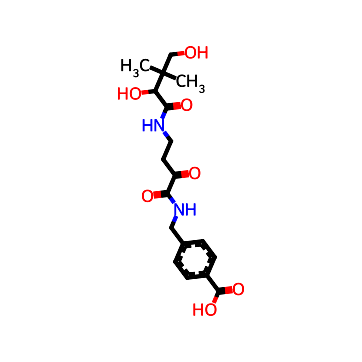 CC(C)(CO)C(O)C(=O)NCCC(=O)C(=O)NCc1ccc(C(=O)O)cc1